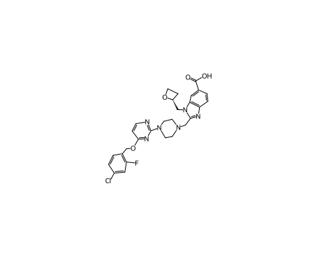 O=C(O)c1ccc2nc(CN3CCN(c4nccc(OCc5ccc(Cl)cc5F)n4)CC3)n(C[C@@H]3CCO3)c2c1